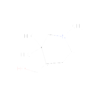 CN1CCC(CO)C(C)(C)C1